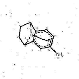 CCN1CC2CCC(C1)c1cc(N)ccc12